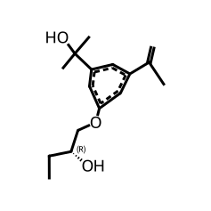 C=C(C)c1cc(OC[C@H](O)CC)cc(C(C)(C)O)c1